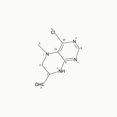 CN1CC(C=O)Nc2ncnc(Cl)c21